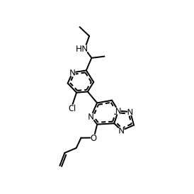 C=CCCOc1nc(-c2cc(C(C)NCC)ncc2Cl)cn2ncnc12